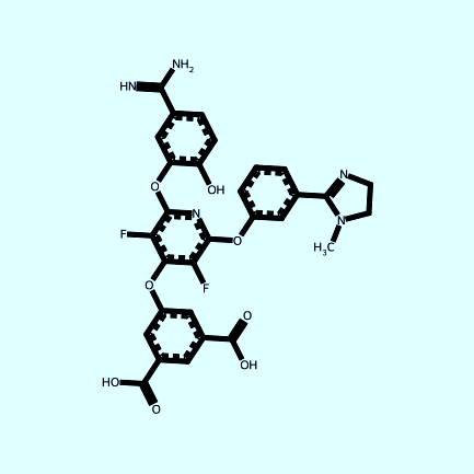 CN1CCN=C1c1cccc(Oc2nc(Oc3cc(C(=N)N)ccc3O)c(F)c(Oc3cc(C(=O)O)cc(C(=O)O)c3)c2F)c1